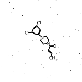 C/C=C/C(=O)N1CCN(c2cc(Cl)cc(Cl)c2)CC1